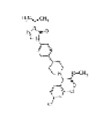 COC(=O)C(c1ccc(Cl)cc1Cl)N1CCC(c2ccc(-n3cnn(C(C)C)c3=O)cc2)CC1